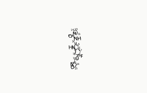 O=C(NCc1cc2cc(F)c(OCc3ccon3)cc2[nH]1)N1CCC1